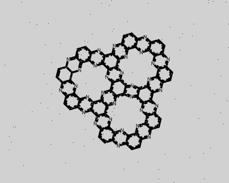 C1=CC2N=c3ccc4nc5c6nc7ccc8nc9ccc%10nc%11ccc%12nc%13c%14nc%15ccc%16nc%17ccc%18nc%19ccc%20nc%21c%22nc%23ccc%24nc1c1nc%24c%23nc%22c%22nc%23c%24nc(c5nc4c3=NC12)c1nc%24c2nc(c%13nc%12c%11nc%10c9nc8c7nc61)c1nc2c%23nc%22c%21nc%20c%19nc%18c%17nc%16c%15nc%141